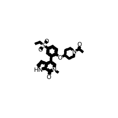 CCS(=O)(=O)c1ccc(OC2CCN(C(C)=O)CC2)c(-c2cn(C)c(=O)c3[nH]ccc23)c1